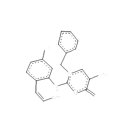 CN/C=C\c1ccc(C)cc1Nc1nc(=O)c(OC)cn1Cc1ccccc1